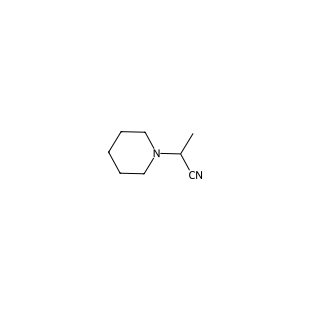 CC(C#N)N1CCCCC1